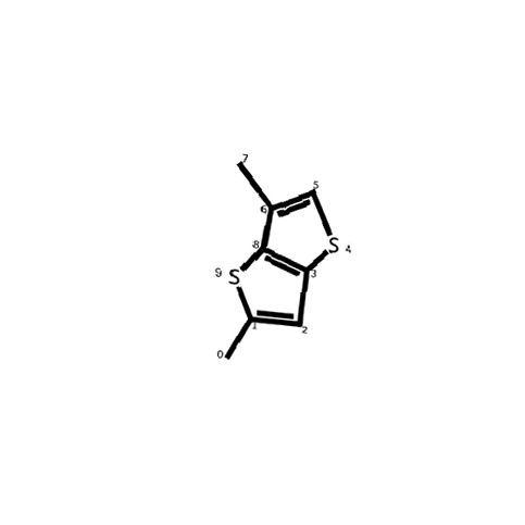 Cc1cc2scc(C)c2s1